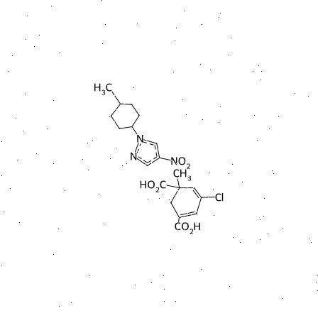 CC1(C(=O)O)C=C(Cl)C=C(C(=O)O)C1.CC1CCC(n2cc([N+](=O)[O-])cn2)CC1